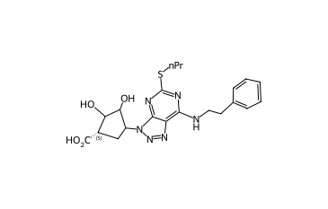 CCCSc1nc(NCCc2ccccc2)c2nnn(C3C[C@H](C(=O)O)C(O)C3O)c2n1